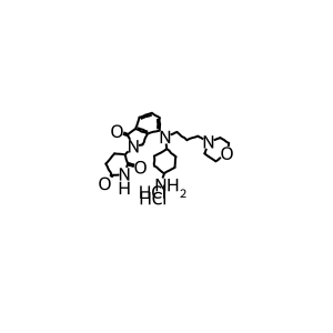 Cl.Cl.NC1CCC(N(CCCN2CCOCC2)c2cccc3c2CN(C2CCC(=O)NC2=O)C3=O)CC1